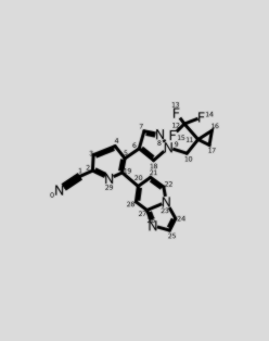 N#Cc1ccc(-c2cnn(CC3(C(F)(F)F)CC3)c2)c(-c2ccn3ccnc3c2)n1